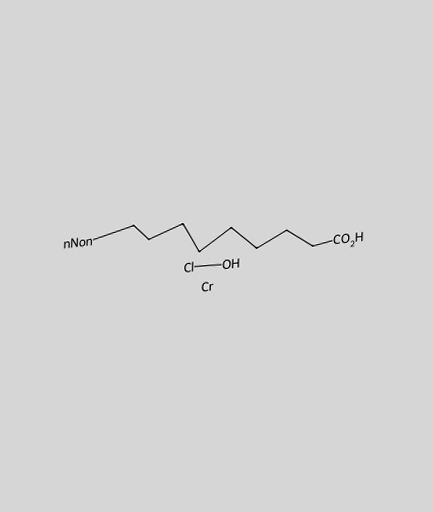 CCCCCCCCCCCCCCCCCC(=O)O.OCl.[Cr]